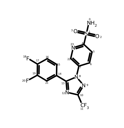 NS(=O)(=O)c1ccc(-n2nc(C(F)(F)F)nc2-c2ccc(F)c(F)c2)cn1